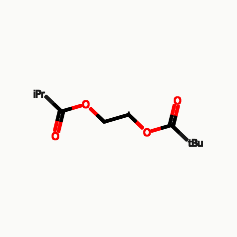 CC(C)C(=O)OC[CH]OC(=O)C(C)(C)C